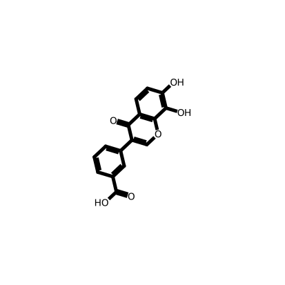 O=C(O)c1cccc(-c2coc3c(O)c(O)ccc3c2=O)c1